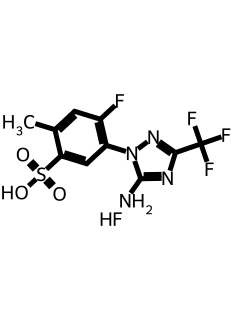 Cc1cc(F)c(-n2nc(C(F)(F)F)nc2N)cc1S(=O)(=O)O.F